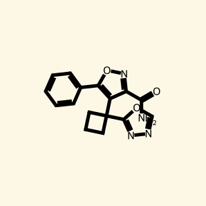 NC(=O)c1noc(-c2ccccc2)c1C1(c2nnco2)CCC1